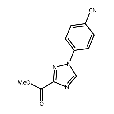 COC(=O)c1ncn(-c2ccc(C#N)cc2)n1